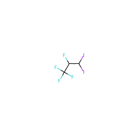 FC(C(I)I)C(F)(F)F